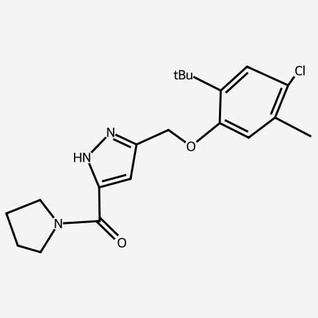 Cc1cc(OCc2cc(C(=O)N3CCCC3)[nH]n2)c(C(C)(C)C)cc1Cl